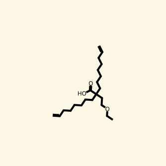 C=CCCCCCCC(CCCCCCC=C)(CCOCC)C(=O)O